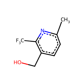 Cc1ccc(CO)c(C(F)(F)F)n1